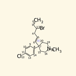 C=CC(Br)C/C=C/C1(c2ccc(Cl)cc2)CCN(C)CC1